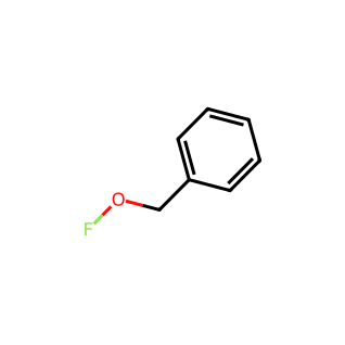 FOCc1ccccc1